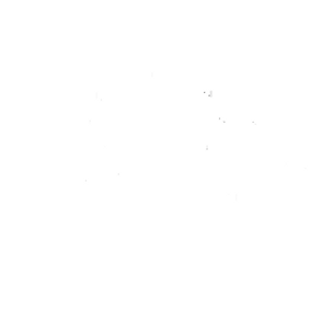 C=C(/C(=C(C)\C=C(/C)NN1C(=O)C(C)=C(C)C1=O)C(C)(C)F)c1ccccc1